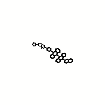 C1=CC2C=C(c3ccc(-c4c5ccccc5c(-c5c6ccccc6c(-c6ccc7ccccc7c6)c6ccccc56)c5ccccc45)cc3)N=C2C=C1c1ccccc1